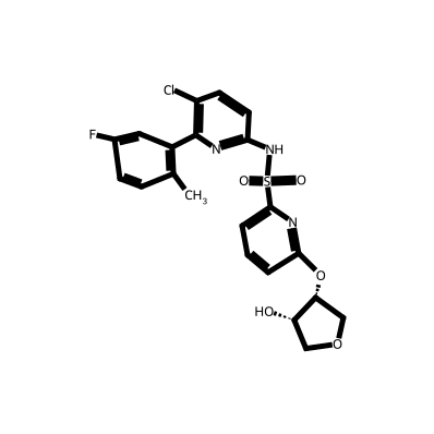 Cc1ccc(F)cc1-c1nc(NS(=O)(=O)c2cccc(O[C@@H]3COC[C@@H]3O)n2)ccc1Cl